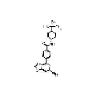 CC(C)(O)[C@H]1CC[C@H](NC(=O)c2ccc(-c3nc(C#N)cc4occc34)cc2)CC1